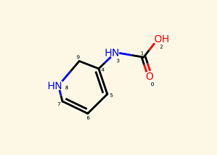 O=C(O)NC1=CC=CNC1